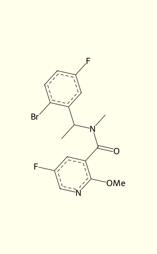 COc1ncc(F)cc1C(=O)N(C)C(C)c1cc(F)ccc1Br